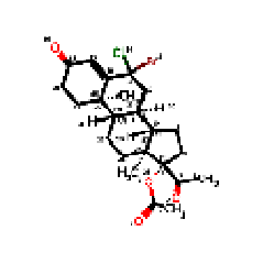 CC(=O)O[C@@]1(C(C)=O)CC[C@H]2[C@@H]3CC(Cl)(Br)C4=CC(=O)CC[C@]4(C)[C@H]3CC[C@@]21C